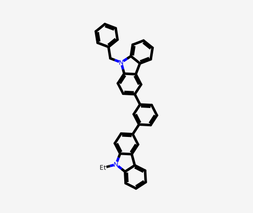 CCn1c2ccccc2c2cc(-c3cccc(-c4ccc5c(c4)c4ccccc4n5Cc4ccccc4)c3)ccc21